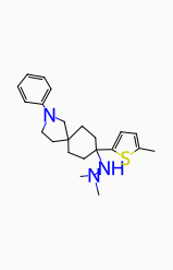 Cc1ccc(C2(NN(C)C)CCC3(CCN(c4ccccc4)C3)CC2)s1